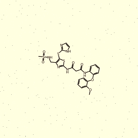 COc1ccccc1Oc1ccccc1NC(=O)CC(=O)Nc1nc(CNS(C)(=O)=O)c(Sc2ncc[nH]2)s1